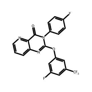 O=c1c2ncccc2nc(Oc2cc(F)cc(C(F)(F)F)c2)n1-c1ccc(F)cc1